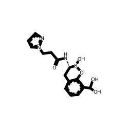 O=C(CCn1cccn1)N[C@H]1Cc2cccc(C(O)O)c2OB1O